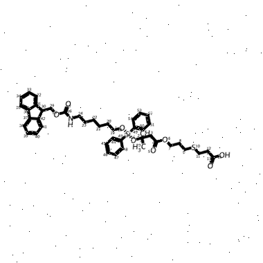 CC(C)(CC(=O)OCCCSCCC(=O)O)O[Si](OCCCCCCNC(=O)OCC1c2ccccc2-c2ccccc21)(c1ccccc1)c1ccccc1